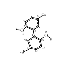 COc1ccc(F)cc1-c1cc(F)ccc1OC